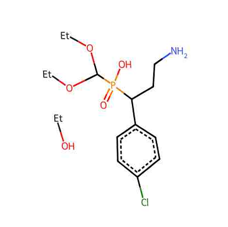 CCO.CCOC(OCC)P(=O)(O)C(CCN)c1ccc(Cl)cc1